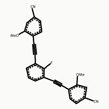 COc1cc(C#N)ccc1C#Cc1cccc(C#Cc2ccc(C#N)cc2OC)c1F